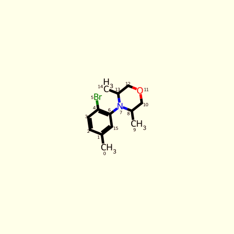 Cc1ccc(Br)c(N2C(C)COCC2C)c1